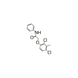 Cc1c(Cl)ccc(OCC(=O)Nc2ccccc2)c1Cl